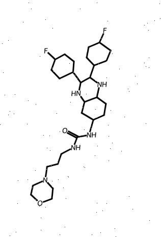 O=C(NCCCN1CCOCC1)NC1CCC2NC(C3CCC(F)CC3)C(C3CCC(F)CC3)NC2C1